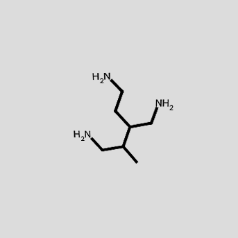 CC(CN)C(CN)CCN